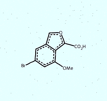 COc1cc(Br)cc2coc(C(=O)O)c12